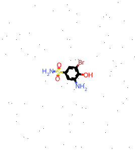 Nc1cc(S(N)(=O)=O)cc(Br)c1O